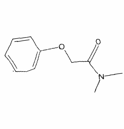 CN(C)C(=O)COc1c[c]ccc1